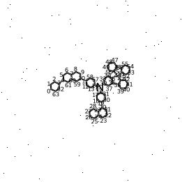 c1ccc(-c2ccc3ccc(-c4ccc(N(c5ccc(-c6cccc7ccccc67)cc5)c5ccc6c(c5)-c5ccccc5C6(c5ccccc5)c5ccccc5)cc4)cc3c2)cc1